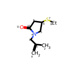 C=C(C)CN1CC(SCC)CC1=O